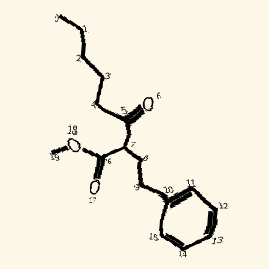 CCCCCC(=O)C(CCc1ccccc1)C(=O)OC